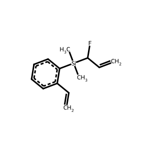 C=Cc1ccccc1[Si](C)(C)C(F)C=C